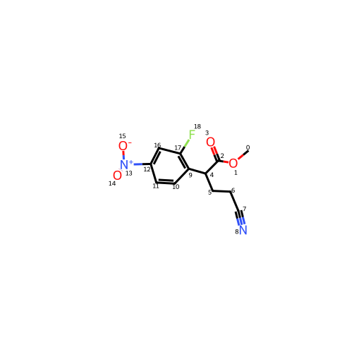 COC(=O)C(CCC#N)c1ccc([N+](=O)[O-])cc1F